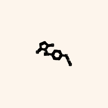 O=C=Nc1ccc(NN2C(=O)C=CC2=O)cc1